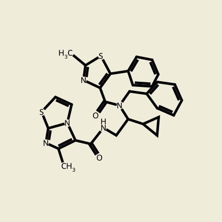 Cc1nc(C(=O)N(Cc2ccccc2)C(CNC(=O)c2c(C)nc3sccn23)C2CC2)c(-c2ccccc2)s1